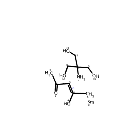 CC(=O)/C=C(/C)O.NC(CO)(CO)CO.[Sm]